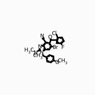 COc1ccc(Cn2c(N(C)C)nc3c(C#N)c(C(=O)c4cc(F)ccc4Cl)c(Br)cc32)cc1